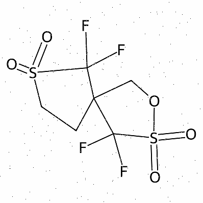 O=S1(=O)CCC2(COS(=O)(=O)C2(F)F)C1(F)F